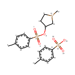 Cc1ccc(S(=O)(=O)OC2CC[S+](C)C2)cc1.Cc1ccc(S(=O)(=O)[O-])cc1